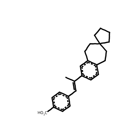 CC(=Cc1ccc(C(=O)O)cc1)c1ccc2c(c1)CCC1(CCCC1)CC2